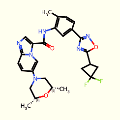 Cc1ccc(-c2noc(C3CC(F)(F)C3)n2)cc1NC(=O)c1cnc2ccc(N3C[C@@H](C)O[C@@H](C)C3)cn12